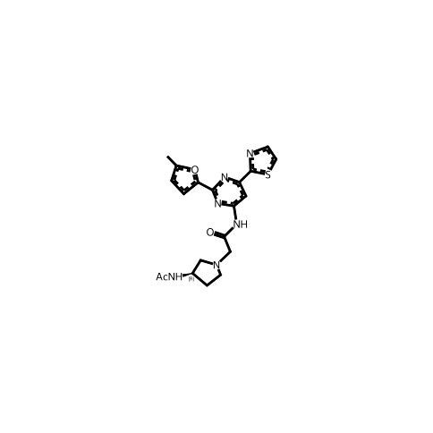 CC(=O)N[C@@H]1CCN(CC(=O)Nc2cc(-c3nccs3)nc(-c3ccc(C)o3)n2)C1